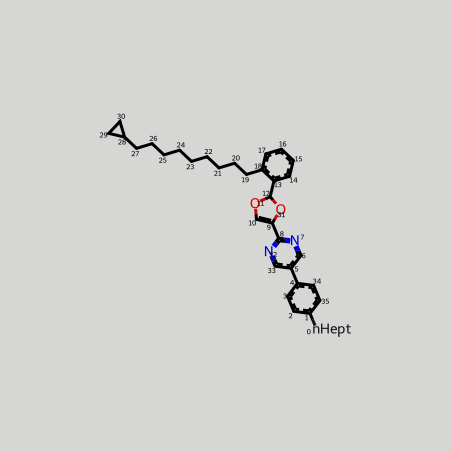 CCCCCCCc1ccc(-c2cnc(C3=COC(c4ccccc4CCCCCCCCCC4CC4)O3)nc2)cc1